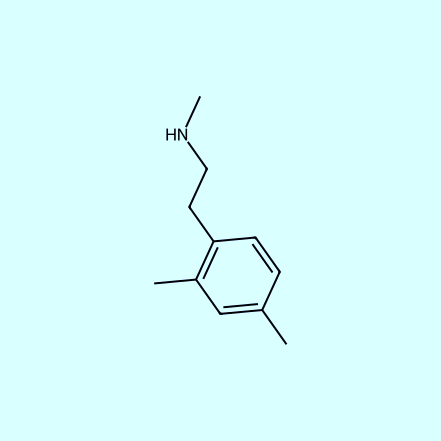 CNCCc1ccc(C)cc1C